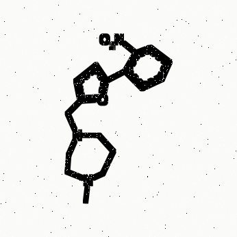 CN1CCCN(Cc2ccc(-c3ccccc3[N+](=O)[O-])o2)CC1